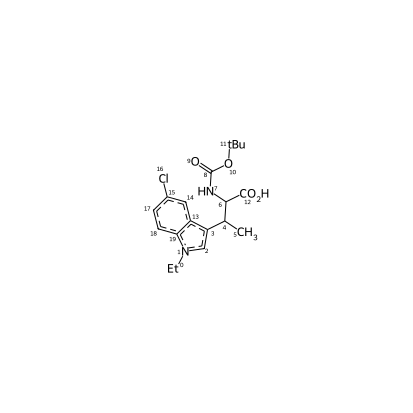 CCn1cc(C(C)C(NC(=O)OC(C)(C)C)C(=O)O)c2cc(Cl)ccc21